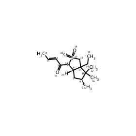 C/C=C/C(=O)N1[C@H]2C[C@H](C)C(C)(C)C2(CC)CS1(=O)=O